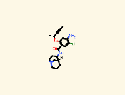 CC#C[C@H](C)Oc1cc(N)c(Cl)cc1C(=O)NC1CCN2CCC[C@@H]1C2